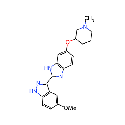 COc1ccc2[nH]nc(-c3nc4ccc(OC5CCCN(C)C5)cc4[nH]3)c2c1